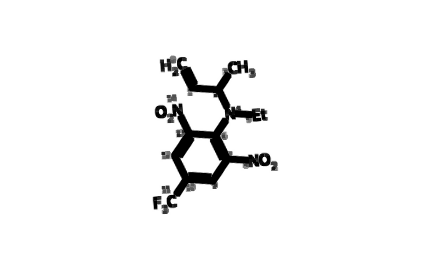 C=CC(C)N(CC)c1c([N+](=O)[O-])cc(C(F)(F)F)cc1[N+](=O)[O-]